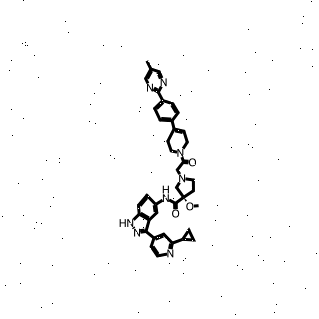 CO[C@@]1(C(=O)Nc2ccc3[nH]nc(-c4ccnc(C5CC5)c4)c3c2)CCN(CC(=O)N2CC=C(c3ccc(-c4ncc(C)cn4)cc3)CC2)C1